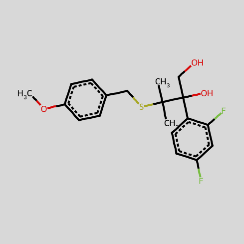 COc1ccc(CSC(C)(C)C(O)(CO)c2ccc(F)cc2F)cc1